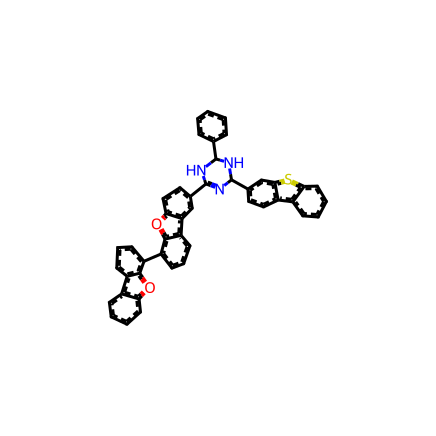 c1ccc(C2NC(c3ccc4oc5c(-c6cccc7c6oc6ccccc67)cccc5c4c3)=NC(c3ccc4c(c3)sc3ccccc34)N2)cc1